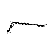 CC(C)CCCCCCCCCCCCCCCCCCC(=O)OCCCCCC(C)C